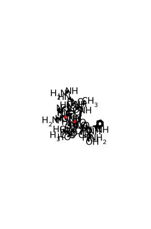 CC(C)C[C@H](NC(=O)CNC(=O)[C@H](C)NC(=O)[C@@H](NC(=O)[C@H](Cc1c[nH]c2ccccc12)NC(=O)[C@@H](N)CO)C(C)C)C(=O)N[C@@H](CCCNC(=N)N)C(=O)N[C@@H](Cc1c[nH]cn1)C(=O)N[C@@H](CCCCN)C(=O)N[C@@H](CO)C(=O)N1CCC[C@H]1C(=O)N[C@H](C(=O)O)[C@@H](C)O